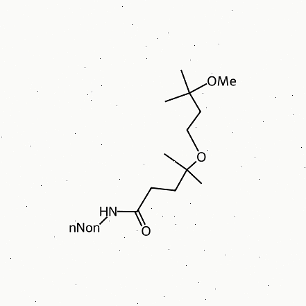 CCCCCCCCCNC(=O)CCC(C)(C)OCCC(C)(C)OC